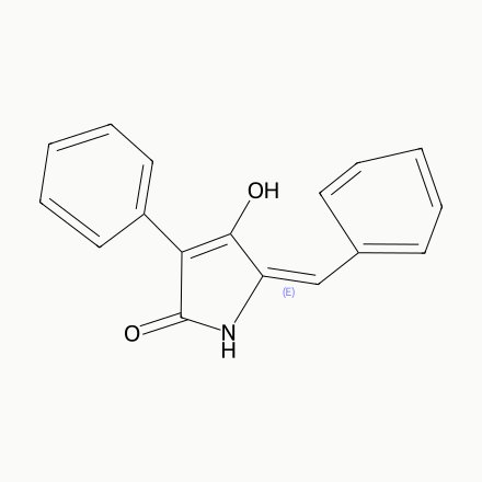 O=C1N/C(=C/c2ccccc2)C(O)=C1c1ccccc1